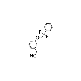 N#CCc1cccc(OCC(F)(F)c2ccccc2)c1